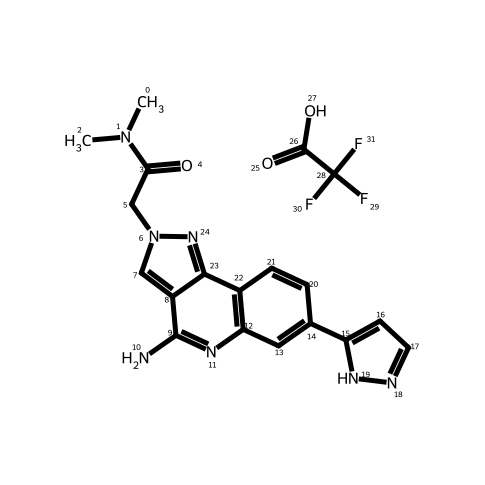 CN(C)C(=O)Cn1cc2c(N)nc3cc(-c4ccn[nH]4)ccc3c2n1.O=C(O)C(F)(F)F